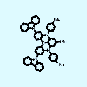 CC(C)(C)c1ccc(N2c3cc(-n4c5ccccc5c5ccccc54)ccc3B3c4ccc(-n5c6ccccc6c6ccccc65)cc4N(c4ccc(C(C)(C)C)cc4)c4cc(C(C)(C)C)cc2c43)cc1